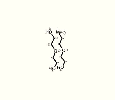 COCCOCCO.OCCOCCO